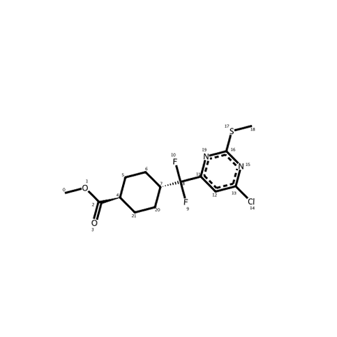 COC(=O)[C@H]1CC[C@H](C(F)(F)c2cc(Cl)nc(SC)n2)CC1